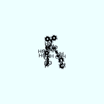 O=C(COC(=O)C(F)(F)F)N[C@H]1C[C@@H](n2cnc3c(NCC(c4ccccc4)c4ccccc4)nc(C(=O)NCCNC(=O)NC4CCN(c5ccccn5)CC4)nc32)[C@H](O)[C@@H]1O